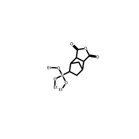 CCO[Si](OCC)(OCC)C1CC2CC1C1C(=O)OC(=O)C21